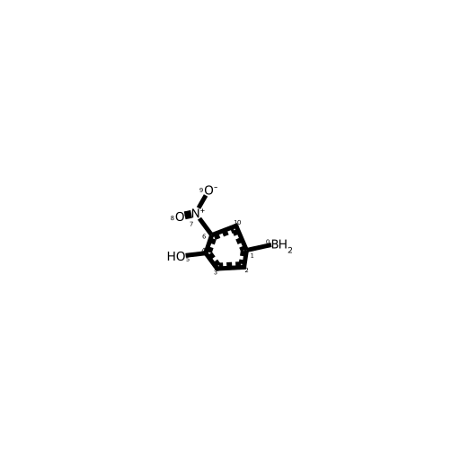 Bc1ccc(O)c([N+](=O)[O-])c1